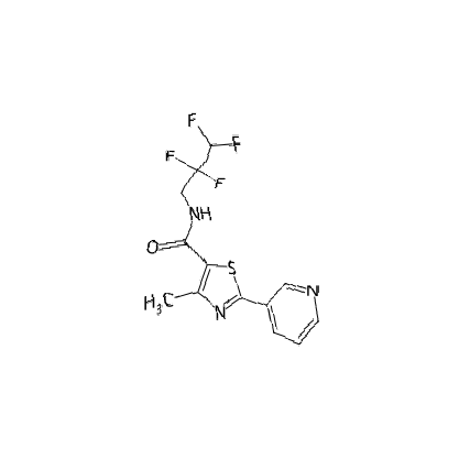 Cc1nc(-c2cccnc2)sc1C(=O)NCC(F)(F)C(F)F